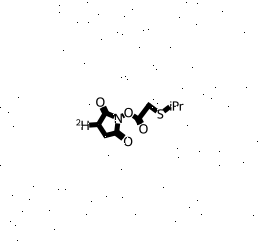 [2H]C1CC(=O)N(OC(=O)CSC(C)C)C1=O